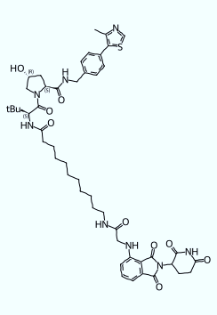 Cc1ncsc1-c1ccc(CNC(=O)[C@@H]2C[C@@H](O)CN2C(=O)[C@@H](NC(=O)CCCCCCCCCCNC(=O)CNc2cccc3c2C(=O)N(C2CCC(=O)NC2=O)C3=O)C(C)(C)C)cc1